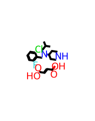 CC(C)CN(Cc1c(F)cccc1Cl)C1CCNCC1.O=C(O)C=CC(=O)O